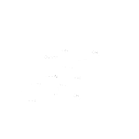 CCCCC(C(=O)O)N(Cc1ccccc1)C(=O)C(C)C